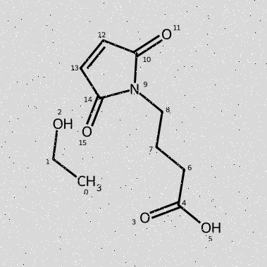 CCO.O=C(O)CCCN1C(=O)C=CC1=O